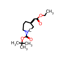 CCOC(=O)/C=C1/CCCN(C(=O)OC(C)(C)C)CC1